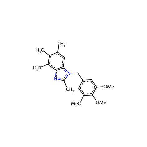 COc1cc(Cn2c(C)nc3c([N+](=O)[O-])c(C)c(C)cc32)cc(OC)c1OC